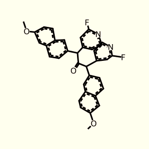 COc1ccc2cc(C(C(=O)C(c3ccnc(F)c3)c3ccc4cc(OC)ccc4c3)c3ccnc(F)c3)ccc2c1